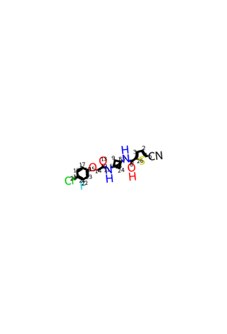 N#Cc1ccc(C(O)NC23CC(NC(=O)COc4ccc(Cl)c(F)c4)(C2)C3)s1